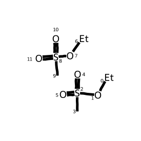 CCOS(C)(=O)=O.CCOS(C)(=O)=O